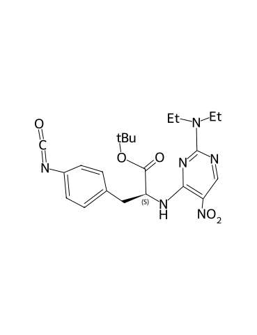 CCN(CC)c1ncc([N+](=O)[O-])c(N[C@@H](Cc2ccc(N=C=O)cc2)C(=O)OC(C)(C)C)n1